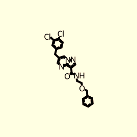 O=C(NCCOCc1ccccc1)c1cnn2cc(Cc3ccc(Cl)c(Cl)c3)cnc12